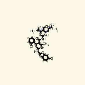 C/C=C(\C=C/C=C(\C)CC)C(/SC(=N)NC(=O)C1=C(C)NC(Nc2nc3ccc(Cl)cc3o2)=NC1c1ccccc1Cl)=C(/C)CC